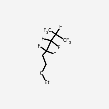 CCOCCC(F)(F)C(F)(F)C(F)(C(F)(F)F)C(F)(F)F